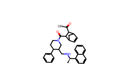 C[C@@H](NCC1CN(C(=O)C2C3C=CC(C3)C2C(=O)N=O)CCC1c1ccccc1)c1cccc2ccccc12